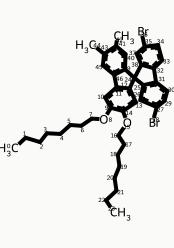 CCCCCCCCOc1cc2c(cc1OCCCCCCCC)C1(c3cc(Br)ccc3-c3ccc(Br)cc31)c1cc(C)c(C)cc1-2